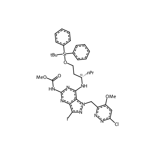 CCC[C@@H](CCO[Si](c1ccccc1)(c1ccccc1)C(C)(C)C)Nc1nc(NC(=O)OC)nc2c(I)nn(Cc3nnc(Cl)cc3OC)c12